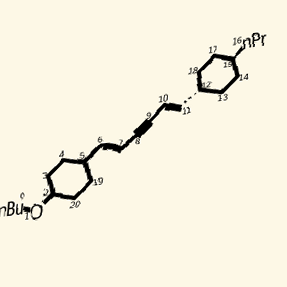 CCCCOC1CCC(/C=C/C#C/C=C/[C@H]2CC[C@H](CCC)CC2)CC1